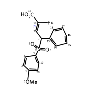 COc1ccc(S(=O)(=O)C(/C=C(\F)C(=O)O)c2ccccc2)cc1